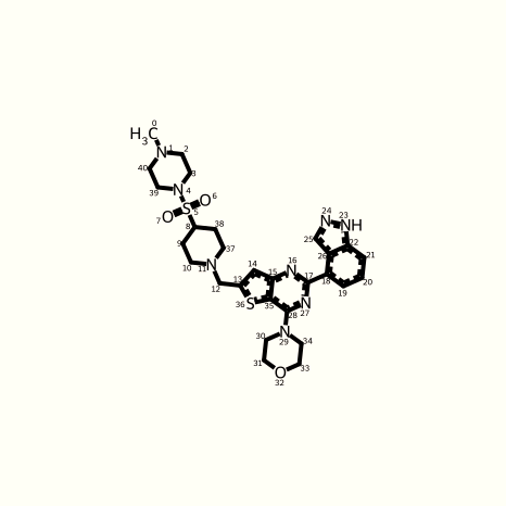 CN1CCN(S(=O)(=O)C2CCN(Cc3cc4nc(-c5cccc6[nH]ncc56)nc(N5CCOCC5)c4s3)CC2)CC1